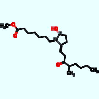 CCCCC(C)C(=O)CC=C1CC[C@@H](O)[C@@H]1CCCCCCC(=O)OC